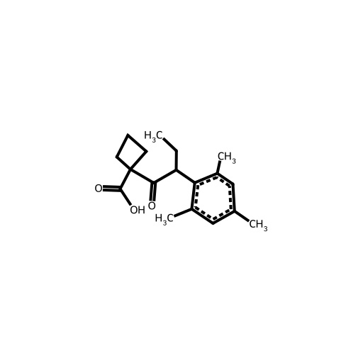 CCC(C(=O)C1(C(=O)O)CCC1)c1c(C)cc(C)cc1C